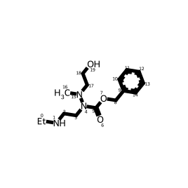 CCNCCN(C(=O)OCc1ccccc1)N(C)CCO